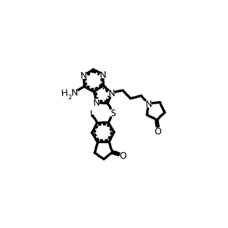 Nc1ncnc2c1nc(Sc1cc3c(cc1I)CCC3=O)n2CCCN1CCC(=O)C1